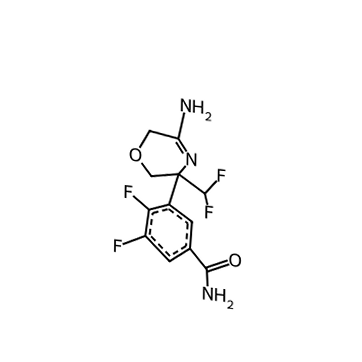 NC(=O)c1cc(F)c(F)c(C2(C(F)F)COCC(N)=N2)c1